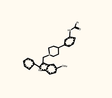 COc1ccc2[nH]c(-c3ccccc3)c(CN3CCC(c4cccc(NC(=O)C(C)C)c4)CC3)c2c1